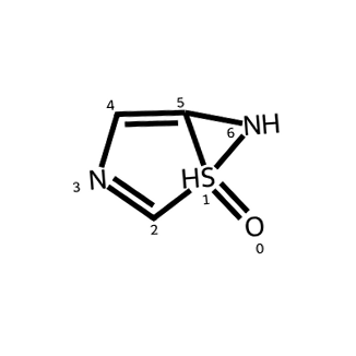 O=[SH]12C=NC=C1N2